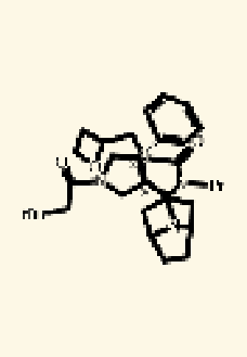 CC(C)N1C(=O)N(CC2CCO2)CC12CC1CCC(C2)N1C[C@H]1CN(C(=O)CC(C)(C)C)C[C@@H]1c1ccccc1